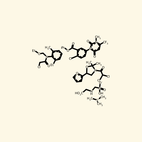 CC(C)OC(=O)c1cc(-n2c(=O)cc(C(F)(F)F)n(C)c2=O)ccc1Cl.CC1(C)OC(c2ccco2)CN1C(=O)C(Cl)Cl.CCOCN(C(=O)CCl)c1c(C)cccc1CC.C[S+](C)C.O=C(O)CNCP(=O)([O-])O